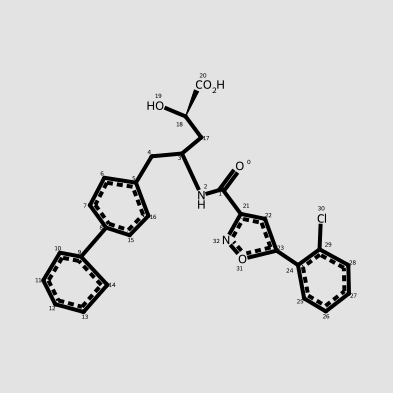 O=C(NC(Cc1ccc(-c2ccccc2)cc1)C[C@@H](O)C(=O)O)c1cc(-c2ccccc2Cl)on1